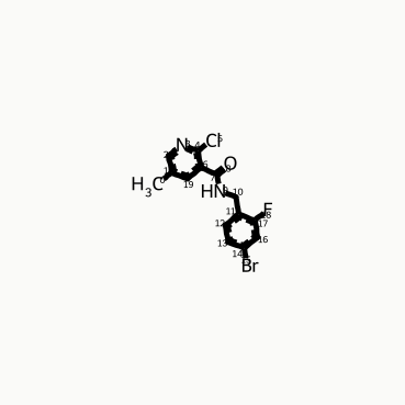 Cc1cnc(Cl)c(C(=O)NCc2ccc(Br)cc2F)c1